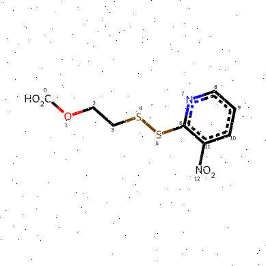 O=C(O)OCCSSc1ncccc1[N+](=O)[O-]